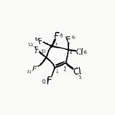 FC1=C(Cl)C(F)(Cl)C(F)(F)C1(F)F